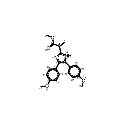 COC(=O)C(C)c1nc(-c2ccc(OC)cc2)c(-c2ccc(OC)cc2)[nH]1